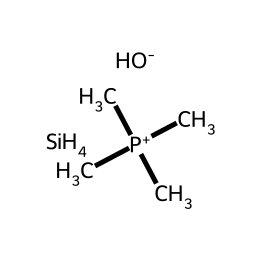 C[P+](C)(C)C.[OH-].[SiH4]